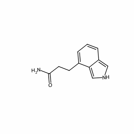 NC(=O)CCc1cccc2c[nH]cc12